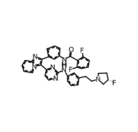 O=C(Nc1cccc(-c2nc3ccccn3c2-c2ccnc(Nc3cccc(CCN4CC[C@H](F)C4)c3)n2)c1)c1c(F)cccc1F